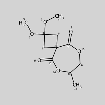 COC1(OC)CC2(C1)C(=O)OCC(C)OC2=O